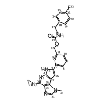 CNc1nc2[nH]c(-c3cccc(COC(=O)NCc4ccc(F)cc4)n3)cc2c2c1ncn2C